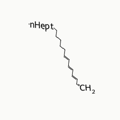 C=CC=CC=CC=CCCCCC[CH]CCCCCC